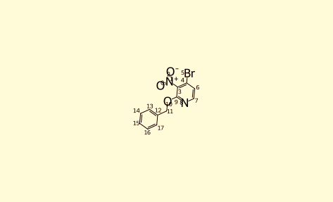 O=[N+]([O-])c1c(Br)ccnc1OCc1ccccc1